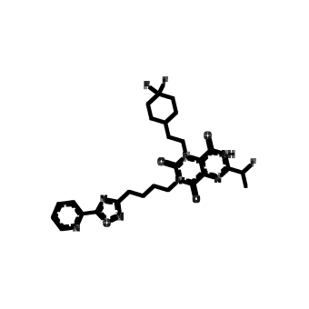 CC(F)c1nc2c(=O)n(CCCCc3noc(-c4ccccn4)n3)c(=O)n(CCC3CCC(F)(F)CC3)c2c(=O)[nH]1